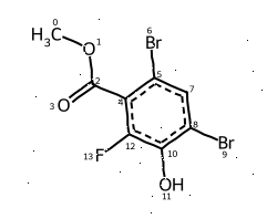 COC(=O)c1c(Br)cc(Br)c(O)c1F